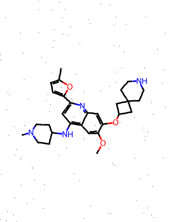 COc1cc2c(NC3CCN(C)CC3)cc(-c3ccc(C)o3)nc2cc1OC1CC2(CCNCC2)C1